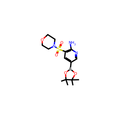 CC1(C)OB(c2cnc(N)c(S(=O)(=O)N3CCOCC3)c2)OC1(C)C